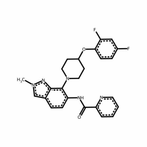 Cn1cc2ccc(NC(=O)c3ccccn3)c(N3CCC(Oc4ccc(F)cc4F)CC3)c2n1